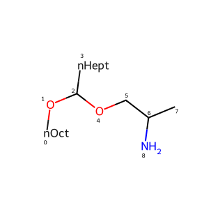 CCCCCCCCOC(CCCCCCC)OCC(C)N